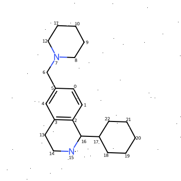 c1cc2c(cc1CN1CCCCC1)CC[N]C2C1CCCCC1